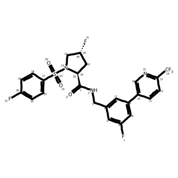 O=C(NCc1cc(F)cc(-c2ccc(C(F)(F)F)nc2)c1)[C@@H]1C[C@@H](F)CN1S(=O)(=O)c1ccc(F)cc1